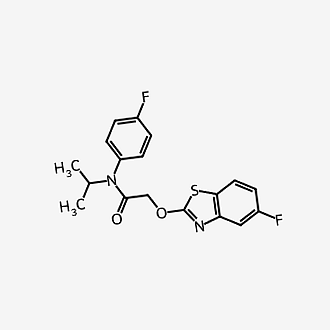 CC(C)N(C(=O)COc1nc2cc(F)ccc2s1)c1ccc(F)cc1